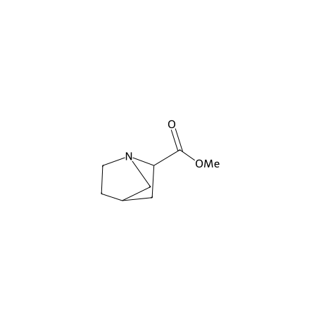 COC(=O)C1CC2CCN1C2